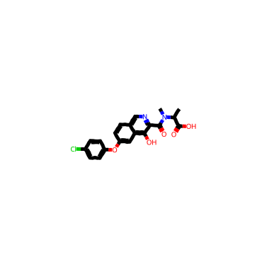 CC(C(=O)O)N(C)C(=O)c1ncc2ccc(Oc3ccc(Cl)cc3)cc2c1O